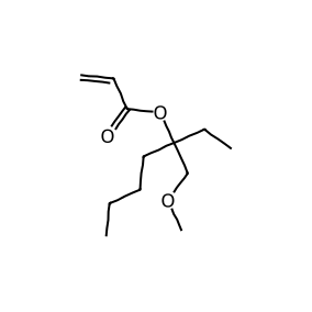 C=CC(=O)OC(CC)(CCCC)COC